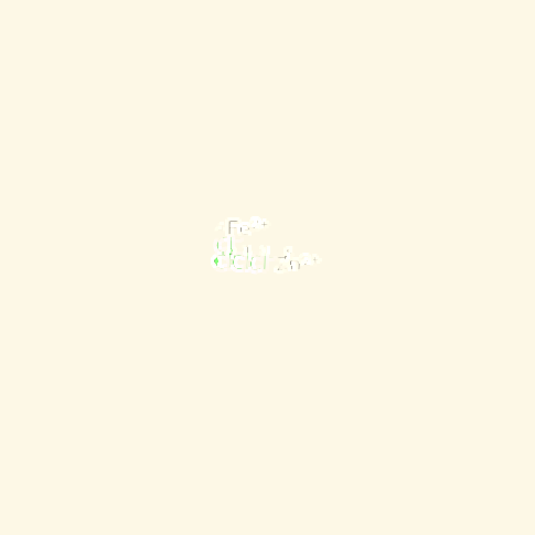 [Cl-].[Cl-].[Cl-].[Cl-].[Fe+2].[Zn+2]